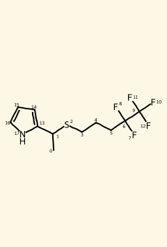 CC(SCCCC(F)(F)C(F)(F)F)c1ccc[nH]1